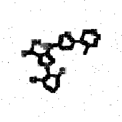 Cc1cnncc1-c1ccc(Nc2cn(-c3c(Cl)cccc3Cl)nc2C(N)=O)cn1